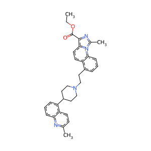 CCOC(=O)c1nc(C)n2c1ccc1c(CCN3CCC(c4cccc5nc(C)ccc45)CC3)cccc12